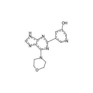 Oc1cncc(-c2nc(N3CCOCC3)c3nc[nH]c3n2)c1